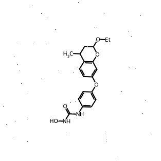 CCOC1CC(C)c2ccc(Oc3ccc(NC(=O)NO)cc3)cc2O1